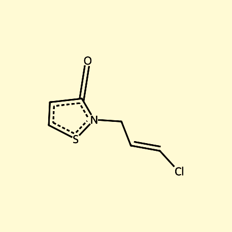 O=c1ccsn1CC=CCl